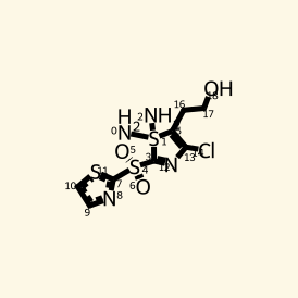 NS1(N)C(S(=O)(=O)c2nccs2)=NC(Cl)=C1CCO